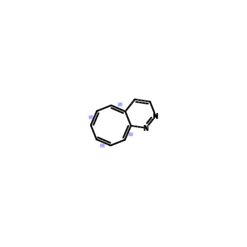 C1=C\C=c2\ccnn\c2=C\C=C/1